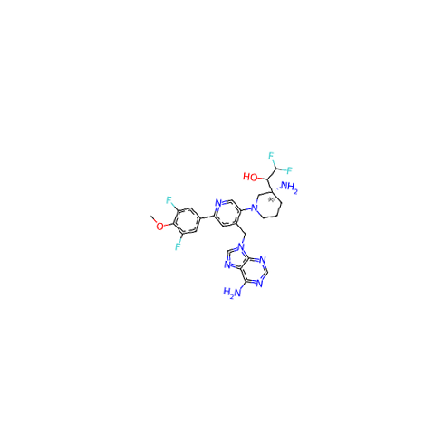 COc1c(F)cc(-c2cc(Cn3cnc4c(N)ncnc43)c(N3CCC[C@](N)(C(O)C(F)F)C3)cn2)cc1F